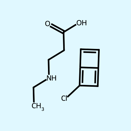 CCNCCC(=O)O.Clc1cc2ccc1-2